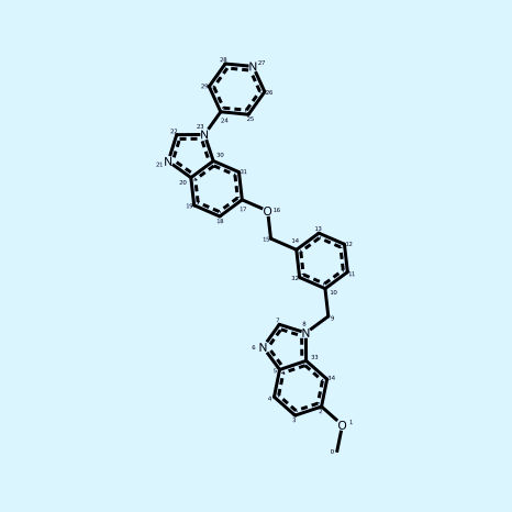 COc1ccc2ncn(Cc3cccc(COc4ccc5ncn(-c6ccncc6)c5c4)c3)c2c1